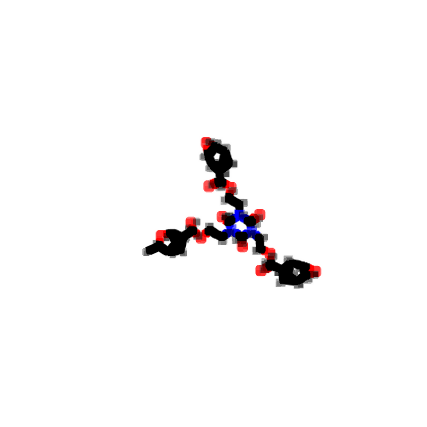 CC1OC2CC1CC2C(=O)OCCn1c(=O)n(CCOC(=O)C2CC3CC2C2OC32)c(=O)n(CCOC(=O)C2CC3CC2C2OC32)c1=O